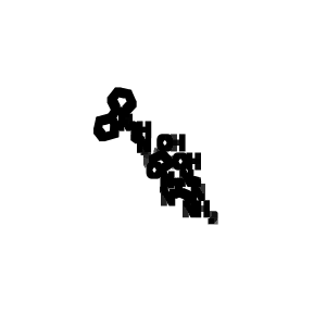 Nc1ncnc2c1ncn2C1O[C@H](CNCCn2c3ccccc3c3ccccc32)[C@@H](O)[C@H]1O